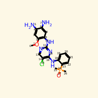 COc1cc(N)c(N)cc1Nc1ncc(Cl)c(Nc2ccccc2P(C)(C)=O)n1